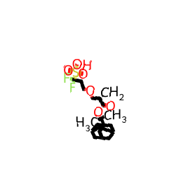 C=C(COCCC(F)(F)S(=O)(=O)O)C(=O)OC(C)(C)C12CC3CC(CC(C3)C1)C2